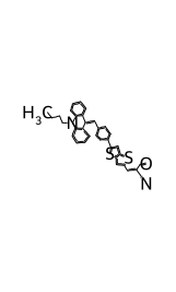 CCCCN1c2ccccc2C(=Cc2ccc(-c3cc4sc(/C=C(/C#N)C=O)cc4s3)cc2)c2ccccc21